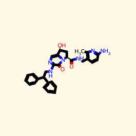 Cc1nc(N)ccc1CNC(=O)[C@@H]1C[C@@H](O)c2cnc(NCC(c3ccccc3)c3ccccc3)c(=O)n21